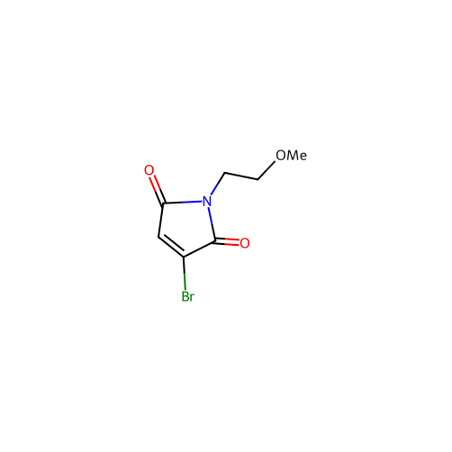 COCCN1C(=O)C=C(Br)C1=O